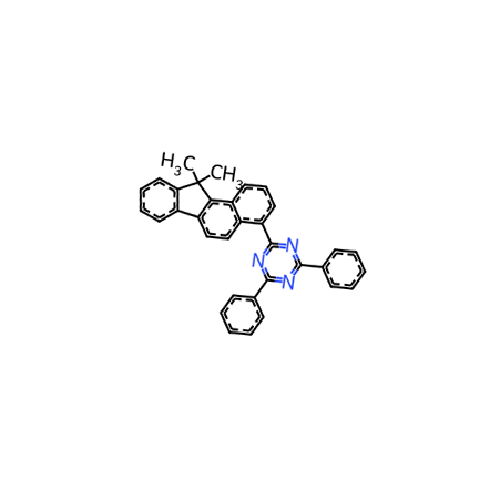 CC1(C)c2ccccc2-c2ccc3c(-c4nc(-c5ccccc5)nc(-c5ccccc5)n4)cccc3c21